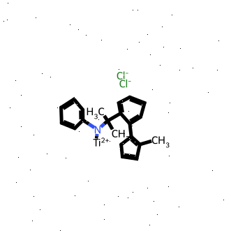 CC1=C(c2ccccc2C(C)(C)[N]([Ti+2])c2ccccc2)CC=C1.[Cl-].[Cl-]